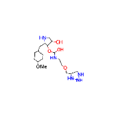 COC1CCC(CC2NCC(O)C2OC(O)NCCOCC2CNNN2)CC1